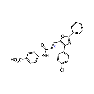 O=C(/C=C/c1oc(-c2ccccc2)nc1-c1ccc(Cl)cc1)Nc1ccc(C(=O)O)cc1